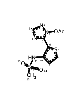 CC(=O)On1nnnc1-c1sccc1NS(C)(=O)=O